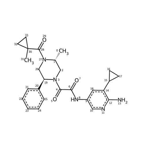 C[C@@H]1CN(C(=O)C(=O)Nc2cnc(N)c(C3CC3)c2)[C@@H](c2ccccc2)CN1C(=O)C1(C)CC1